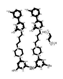 CCCc1cc(N2CCN(CCCCn3ccc(-c4cccc(F)c4)nc3=O)CC2)nc(C(C)(C)C)n1.CCCc1cc(N2CCN(CCCCn3ccc(-c4cccc(F)c4)nc3=O)CC2)nc(C(C)(C)C)n1.O=C(O)C=CC(=O)O